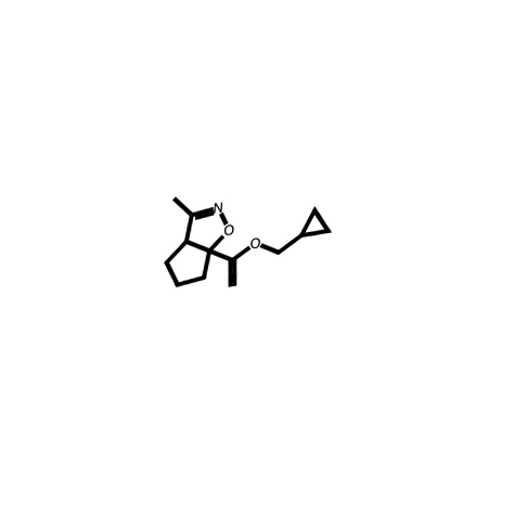 C=C(OCC1CC1)C12CCCC1C(C)=NO2